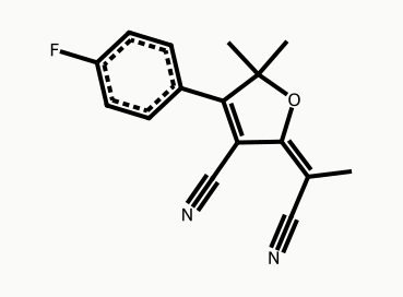 C/C(C#N)=C1\OC(C)(C)C(c2ccc(F)cc2)=C1C#N